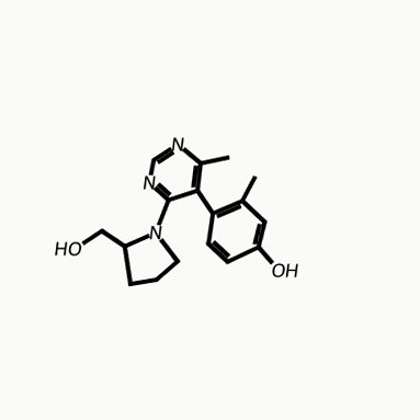 Cc1cc(O)ccc1-c1c(C)ncnc1N1CCCC1CO